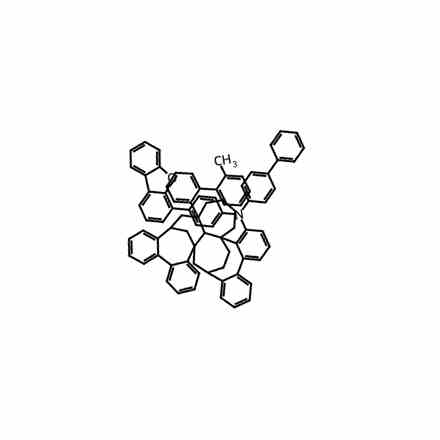 Cc1ccccc1-c1ccccc1C12CCCCC34CCC(CC5(CC(C1)c1ccccc1-c1ccccc15)C23)c1ccccc1-c1cccc(N(c2ccc(-c3ccccc3)cc2)c2ccc(-c3cccc5c3oc3ccccc35)cc2)c14